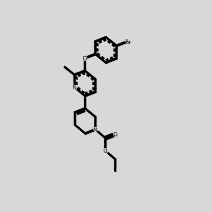 CCOC(=O)N1CCC=C(c2ccc(Oc3ccc(Br)cc3)c(C)n2)C1